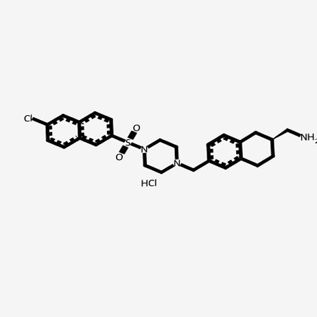 Cl.NC[C@H]1CCc2cc(CN3CCN(S(=O)(=O)c4ccc5cc(Cl)ccc5c4)CC3)ccc2C1